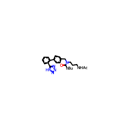 CCCCC(=O)N(CCCNC(C)=O)Cc1ccc(-c2ccccc2-c2nnn[nH]2)cc1